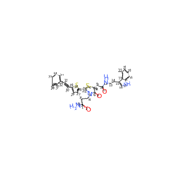 NC(=O)CCN1C(=O)[C@@H](CC(=O)NCCc2c[nH]c3ccccc23)S[C@H]1c1ccc(C#Cc2ccccc2)s1